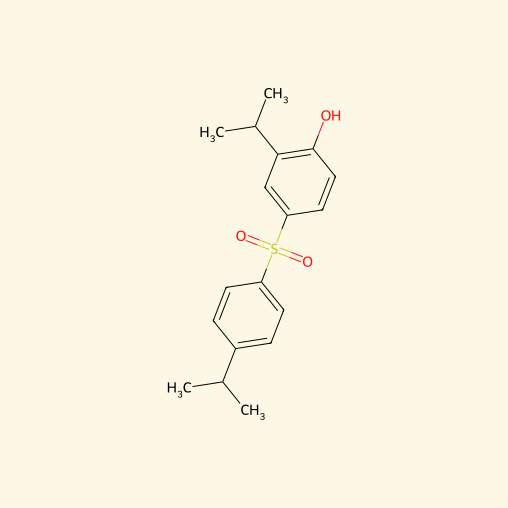 CC(C)c1ccc(S(=O)(=O)c2ccc(O)c(C(C)C)c2)cc1